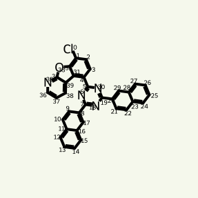 Clc1ccc(-c2nc(-c3ccc4ccccc4c3)nc(-c3ccc4ccccc4c3)n2)c2c1oc1ncccc12